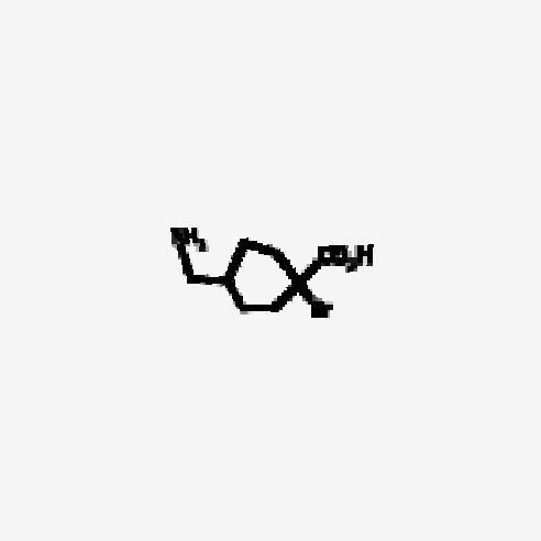 NCC1CCC(Br)(C(=O)O)CC1